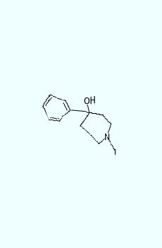 OC1(c2ccccc2)CCN(I)CC1